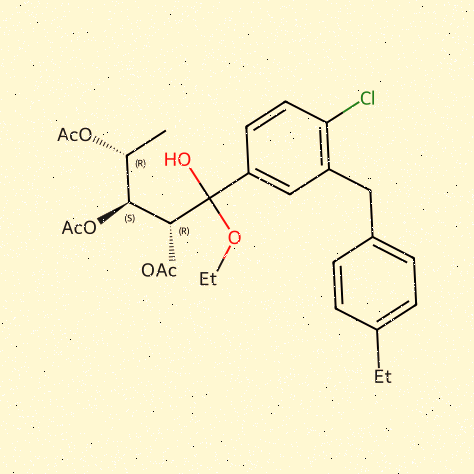 CCOC(O)(c1ccc(Cl)c(Cc2ccc(CC)cc2)c1)[C@H](OC(C)=O)[C@@H](OC(C)=O)[C@@H](C)OC(C)=O